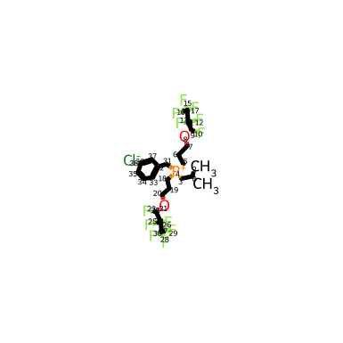 CC(C)C[P+](CCCOC(F)C(F)(F)C(F)(F)F)(CCCOC(F)C(F)(F)C(F)(F)F)Cc1ccccc1.[Cl-]